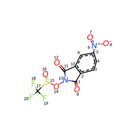 O=C1c2ccc([N+](=O)[O-])cc2C(=O)N1OS(=O)C(F)(F)F